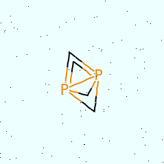 C1=P23CP=12C3